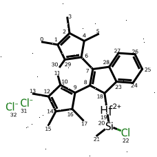 CC1=C(C)C(C)C(C2=C(C3=C(C)C(C)=C(C)C3C)[CH]([Hf+2][Si](C)Cl)c3ccccc32)=C1C.[Cl-].[Cl-]